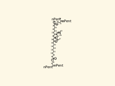 CCCCCC(CCCCC)CCOC(=O)CCCCCCCCCC(CCCCCCCCCC(=O)OCCC(CCCCC)CCCCC)OC(C)OCCCN(C)C